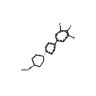 CCCCCC[C@H]1CC[C@H](c2ccc(-c3cc(F)c(F)c(F)c3)cc2)CC1